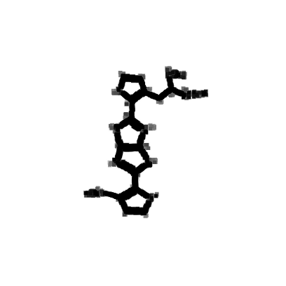 CCCCCCCCc1ccsc1-c1nc2sc(-c3sccc3CC(CCCCCC)CCCCCCCC)nc2s1